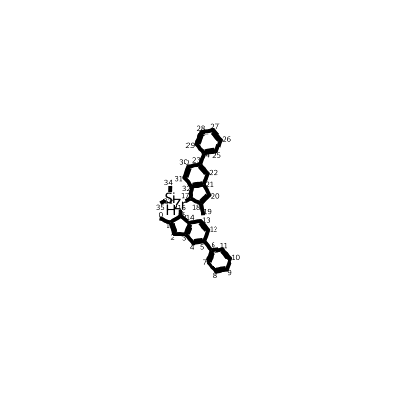 CC1=Cc2cc(-c3ccccc3)ccc2[CH]1[Zr]([CH]1C(C)=Cc2cc(-c3ccccc3)ccc21)[SiH](C)C